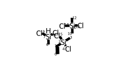 C=C[Si](C)(Cl)Cl.C[SiH](Cl)Cl.C[Si](C)(Cl)Cl